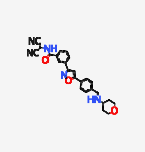 N#CC(C#N)NC(=O)c1cccc(-c2cc(-c3ccc(CNC4CCOCC4)cc3)on2)c1